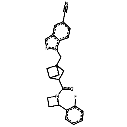 N#Cc1ccc2c(cnn2CC23CC(C2)C(C(=O)N2CCC2c2ccccc2F)C3)c1